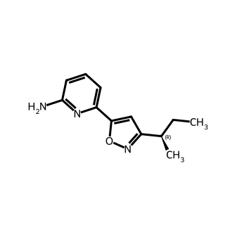 CC[C@@H](C)c1cc(-c2cccc(N)n2)on1